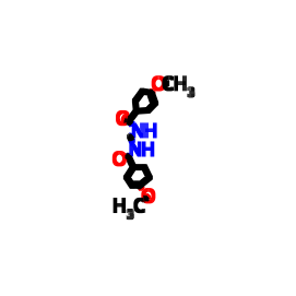 COC1=CCC(C(=O)NCNC(=O)C2CC=C(OC)CC2)CC1